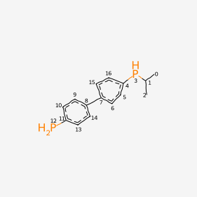 CC(C)Pc1ccc(-c2ccc(P)cc2)cc1